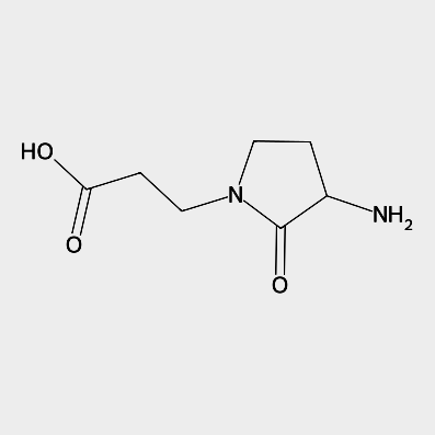 NC1CCN(CCC(=O)O)C1=O